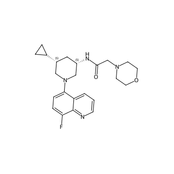 O=C(CN1CCOCC1)N[C@H]1C[C@@H](C2CC2)CN(c2ccc(F)c3ncccc23)C1